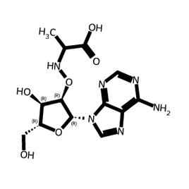 CC(NO[C@@H]1[C@H](O)[C@@H](CO)O[C@H]1n1cnc2c(N)ncnc21)C(=O)O